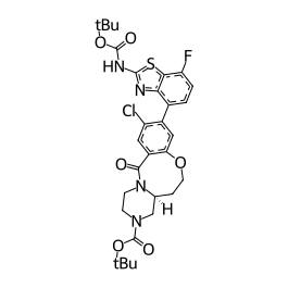 CC(C)(C)OC(=O)Nc1nc2c(-c3cc4c(cc3Cl)C(=O)N3CCN(C(=O)OC(C)(C)C)C[C@@H]3CCO4)ccc(F)c2s1